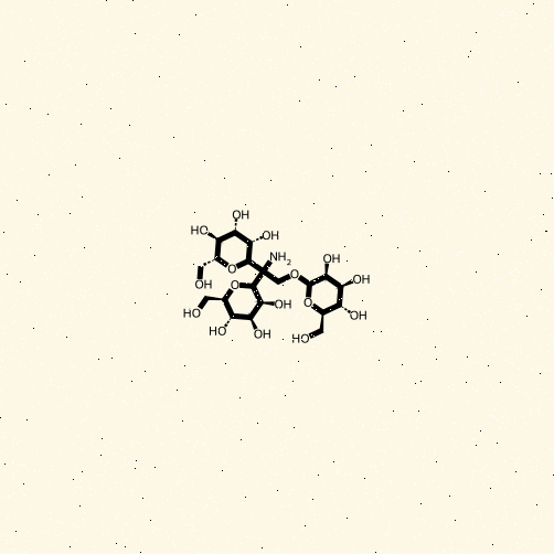 NC(COC1O[C@H](CO)[C@@H](O)[C@H](O)[C@@H]1O)(C1O[C@H](CO)[C@@H](O)[C@H](O)[C@@H]1O)C1O[C@H](CO)[C@@H](O)[C@H](O)[C@@H]1O